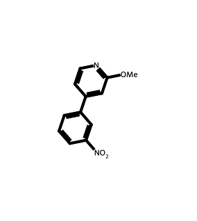 COc1cc(-c2cccc([N+](=O)[O-])c2)ccn1